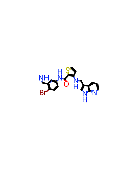 NCc1cc(NC(=O)c2sccc2NCc2c[nH]c3ncccc23)ccc1Br